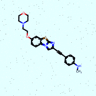 CNc1ccc(C#Cc2cn3c(n2)sc2cc(OCCN4CCOCC4)ccc23)cc1